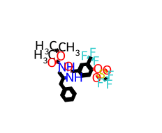 CC(C)(C)OC(=O)NCC(Cc1ccccc1)NC(=O)c1ccc(OS(=O)(=O)C(F)(F)F)c(C(F)(F)F)c1